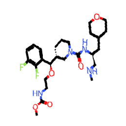 CNC[C@H](CC1CCOCC1)NC(=O)N1CCC[C@@H]([C@@H](OCCNC(=O)OC)c2cccc(F)c2F)C1